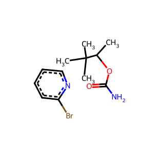 Brc1ccccn1.CC(OC(N)=O)C(C)(C)C